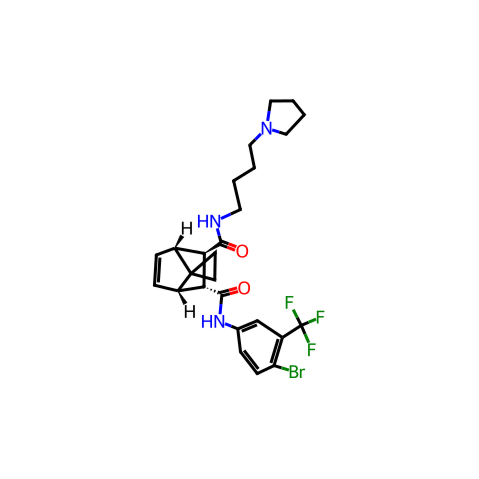 O=C(NCCCCN1CCCC1)[C@H]1[C@H](C(=O)Nc2ccc(Br)c(C(F)(F)F)c2)[C@@H]2C=C[C@H]1C21CC1